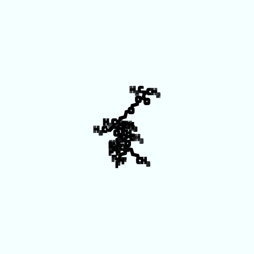 C=C(C)C(=O)OCCOCCC[Si](C)(C)C(CC)(CCC)O[Si](C)(CCC(F)(F)F)C(C)(CC)O[Si](C)(CCCC)CCC(F)(F)F